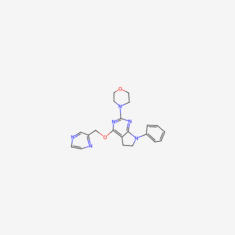 c1ccc(N2CCc3c(OCc4cnccn4)nc(N4CCOCC4)nc32)cc1